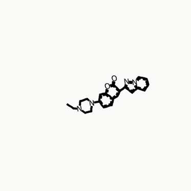 CCN1CCN(c2ccc3cc(-c4cc5ccccn5n4)c(=O)oc3c2)CC1